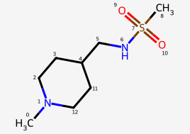 CN1CCC(CNS(C)(=O)=O)CC1